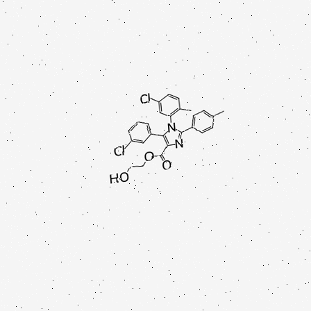 Cc1ccc(-c2nc(C(=O)OCCO)c(-c3cccc(Cl)c3)n2-c2cc(Cl)ccc2C)cc1